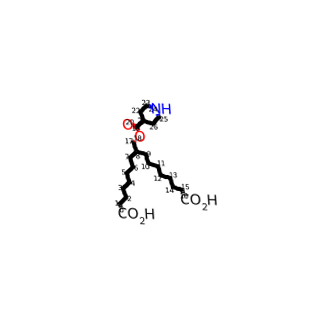 O=C(O)CCCCCCCC(CCCCCCCC(=O)O)COC(=O)C1CCNCC1